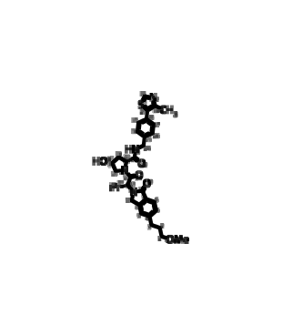 COCCCc1ccc2c(c1)CN([C@H](C(=O)N1C[C@H](O)C[C@H]1C(=O)NCc1ccc(-c3scnc3C)cc1)C(C)C)C2=O